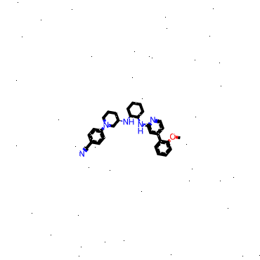 COc1ccccc1-c1ccnc(N[C@@H]2CCCC[C@H]2N[C@H]2CCCN(c3ccc(C#N)cc3)C2)c1